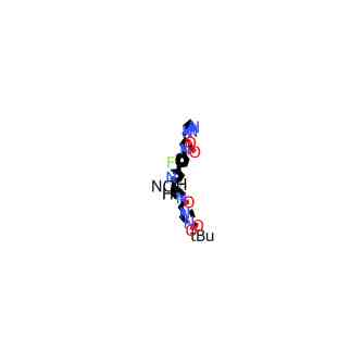 CC(C)(C)OC(=O)N1CCN(CC(=O)N2C[C@@H]3[C@H](C2)[C@@]3(C#N)c2ccc(-c3ccc(N4C[C@H](Cn5ccnn5)OC4=O)cc3F)cn2)CC1